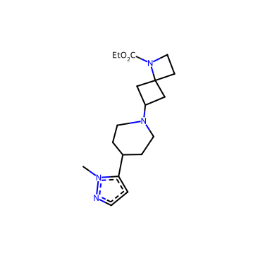 CCOC(=O)N1CCC12CC(N1CCC(c3ccnn3C)CC1)C2